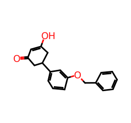 O=C1C=C(O)CC(c2cccc(OCc3ccccc3)c2)C1